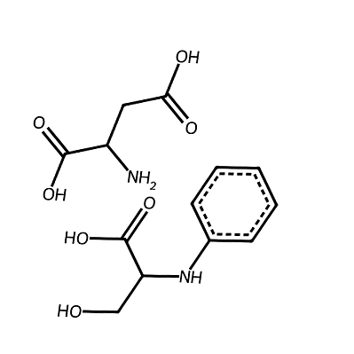 NC(CC(=O)O)C(=O)O.O=C(O)C(CO)Nc1ccccc1